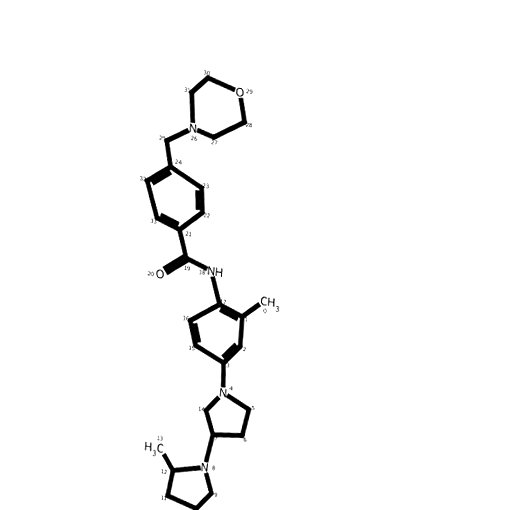 Cc1cc(N2CCC(N3CCCC3C)C2)ccc1NC(=O)c1ccc(CN2CCOCC2)cc1